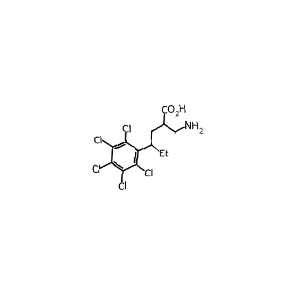 CCC(CC(CN)C(=O)O)c1c(Cl)c(Cl)c(Cl)c(Cl)c1Cl